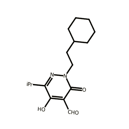 CC(C)c1nn(CCC2CCCCC2)c(=O)c(C=O)c1O